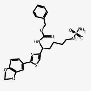 NS(=O)(=O)NCCCC[C@H](NC(=O)OCc1ccccc1)c1csc(-c2ccc3c(c2)OCO3)n1